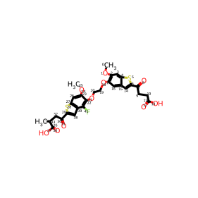 COc1cc2sc(C(=O)CCC(=O)O)cc2cc1OCCOc1c(OC)cc2sc(C(=O)CC(C)C(=O)O)cc2c1F